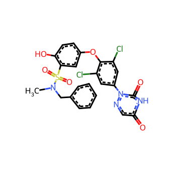 CN(Cc1ccccc1)S(=O)(=O)c1cc(Oc2c(Cl)cc(-n3ncc(=O)[nH]c3=O)cc2Cl)ccc1O